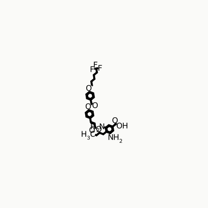 CCC(Cc1c(N)cc(C(=O)O)cc1N)OC(=O)C=Cc1ccc(OC(=O)c2ccc(OCCCCCC(F)(F)F)cc2)cc1